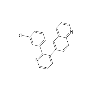 Clc1cccc(-c2ncccc2-c2ccc3ncccc3c2)c1